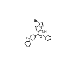 O=C(c1cnc2c(Br)cnn2c1NCc1ccccc1)N1CCC(F)(c2ccccc2)CC1